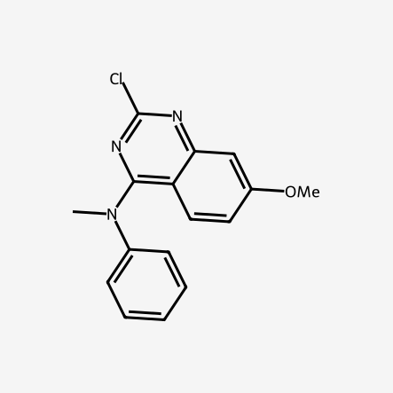 COc1ccc2c(N(C)c3ccccc3)nc(Cl)nc2c1